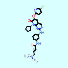 CN(C)C/C=C/C(=O)Nc1cccc(Nc2ncc3cc(Oc4ccc(F)cn4)c(=O)n(C4CCCC4)c3n2)c1